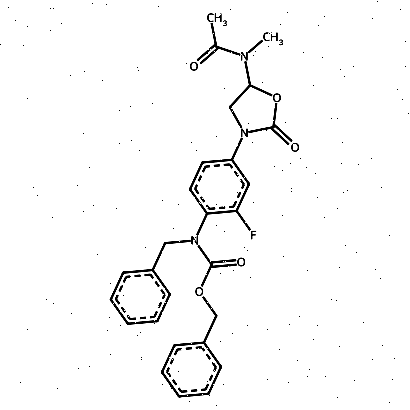 CC(=O)N(C)C1CN(c2ccc(N(Cc3ccccc3)C(=O)OCc3ccccc3)c(F)c2)C(=O)O1